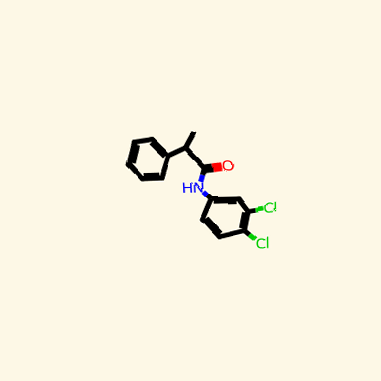 CC(C(=O)Nc1ccc(Cl)c(Cl)c1)c1ccccc1